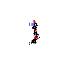 O=C1CCc2cc(OCC3CCN(C(=O)OCc4ccc(Cl)cc4)CC3)ccc2N1